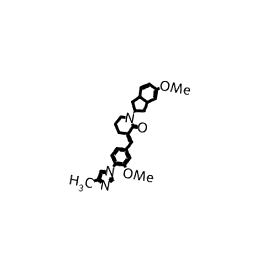 COC1=CC2C[C@H](N3CCC/C(=C\c4ccc(-n5cnc(C)c5)c(OC)c4)C3=O)CC2C=C1